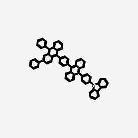 c1ccc(-c2ccc3c(-c4ccc(-c5c6ccccc6c(-c6ccc(-n7c8ccccc8c8ccccc87)cc6)c6ccccc56)cc4)c4ccccc4c(-c4ccccc4)c3c2)cc1